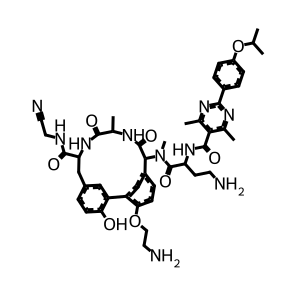 Cc1nc(-c2ccc(OC(C)C)cc2)nc(C)c1C(=O)NC(CCN)C(=O)N(C)C1C(=O)NC(C)C(=O)NC(C(=O)NCC#N)Cc2ccc(O)c(c2)-c2cc1ccc2OCCN